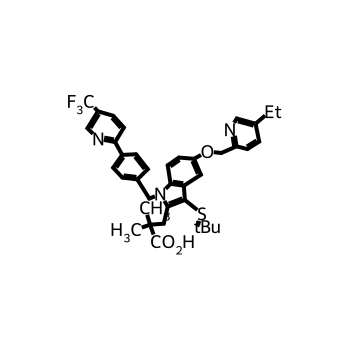 CCc1ccc(COc2ccc3c(c2)c(SC(C)(C)C)c(CC(C)(C)C(=O)O)n3Cc2ccc(-c3ccc(C(F)(F)F)cn3)cc2)nc1